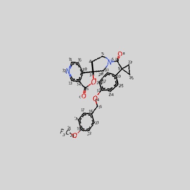 O=C1OC2(CCN(C(=O)C3(c4ccc(OCc5ccc(OC(F)(F)F)cc5)cc4)CC3)C2)c2ccncc21